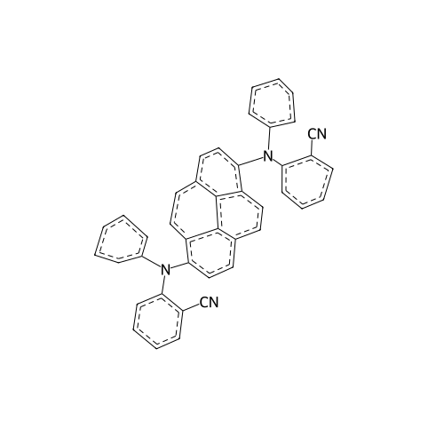 N#Cc1ccccc1N(c1ccccc1)c1ccc2ccc3c(N(c4ccccc4)c4ccccc4C#N)ccc4ccc1c2c43